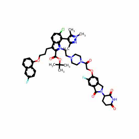 Cc1nn(C)c(C)c1-c1c(Cl)ccc2c(CCCOc3cccc4cc(F)ccc34)c(C(=O)OC(C)(C)C)n(CCN3CCN(C(=O)COc4cc5c(cc4F)C(=O)N(C4CCC(=O)NC4=O)C5)CC3)c12